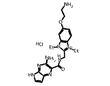 CCn1c(CNC(=O)c2nc3cc[nH]c3nc2N)[n+](CC)c2ccc(OCCN)cc21.Cl